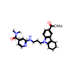 COC(=O)c1ccc2c(c1)c1c(n2CCCNc2cc(C(=O)N(C)C)ccn2)CCCC1